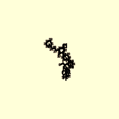 CCc1nn(OC(=O)C(F)(F)F)c2ncnc(N3CCN(c4cc(Cl)cc(CCCN5CCCCC5)c4C)CC3)c12